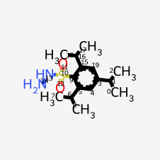 CC(C)c1cc(C(C)C)c(S(=O)(=O)NN)c(C(C)C)c1